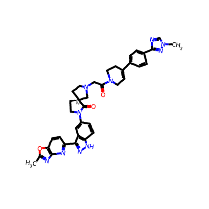 Cc1nc2nc(-c3n[nH]c4ccc(N5CC[C@]6(CCN(CC(=O)N7CC=C(c8ccc(-c9ncn(C)n9)cc8)CC7)C6)C5=O)cc34)ccc2o1